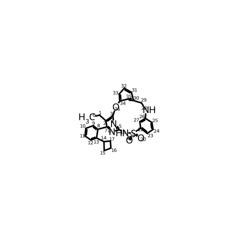 CCc1c2nc(nc1-c1ccccc1C1CCC1)NS(=O)(=O)c1cccc(c1)NCc1cccc(c1)O2